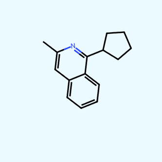 Cc1cc2ccccc2c(C2CCCC2)n1